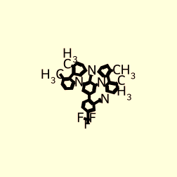 Cc1cccc2c1c1c(C)cccc1n2-c1cc(-c2ccc(C(F)(F)F)cc2C#N)cc(-n2c3cccc(C)c3c3c(C)cccc32)c1C#N